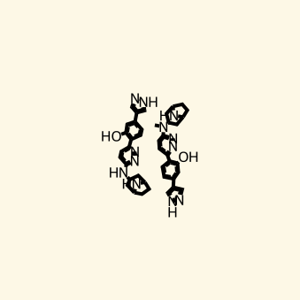 CN(c1ccc(-c2ccc(-c3cn[nH]c3)cc2O)nn1)C1CC2CCC(C1)N2.Oc1cc(-c2cn[nH]c2)ccc1-c1ccc(NC2CC3CCC(C2)N3)nn1